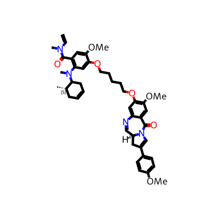 C=CN(C)C(=O)c1cc(OC)c(OCCCCCOc2cc3c(cc2OC)C(=O)N2C=C(c4ccc(OC)cc4)C[C@H]2C=N3)cc1N(C)C1CC=CC[C@@H]1C